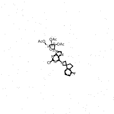 CC(=O)OC[C@H]1O[C@@H](n2cnc3c(N4CC5(CCc6c(F)cccc65)C4)nc(Cl)nc32)[C@H](OC(C)=O)[C@@H]1OC(C)=O